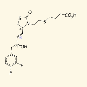 O=C(O)CCCSCCN1C(=O)SC[C@@H]1/C=C/[C@@H](O)Cc1ccc(F)c(F)c1